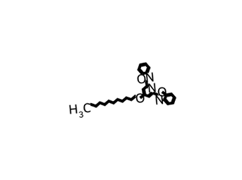 CCCCCCCCCCCCOc1cc(-c2nc3ccccc3o2)nc(-c2nc3ccccc3o2)c1